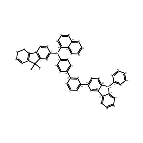 CC1(C)C2=C(CCC=C2)c2ccc(N(c3ccc(-c4cccc(-c5ccc6c(c5)c5ccccc5n6-c5ccccc5)c4)cc3)c3cccc4ccccc34)cc21